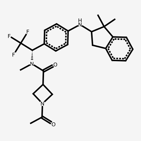 CC(=O)N1CC(C(=O)N(C)[C@@H](c2ccc(NC3Cc4ccccc4C3(C)C)cc2)C(F)(F)F)C1